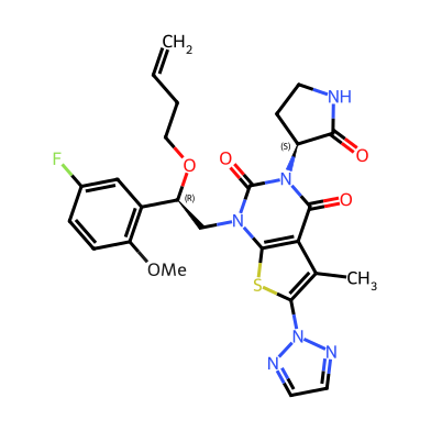 C=CCCO[C@@H](Cn1c(=O)n([C@H]2CCNC2=O)c(=O)c2c(C)c(-n3nccn3)sc21)c1cc(F)ccc1OC